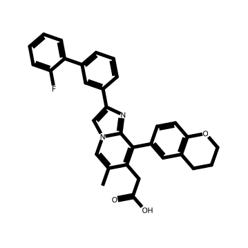 Cc1cn2cc(-c3cccc(-c4ccccc4F)c3)nc2c(-c2ccc3c(c2)CCCO3)c1CC(=O)O